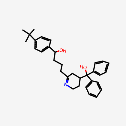 CC(C)(C)c1ccc(C(O)CCCC2=NCCC(C(O)(c3ccccc3)c3ccccc3)C2)cc1